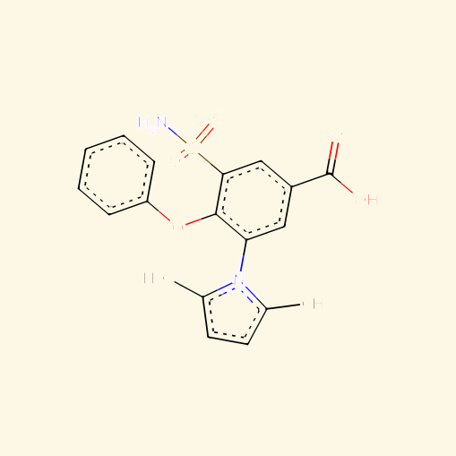 Cc1ccc(C)n1-c1cc(C(=O)O)cc(S(N)(=O)=O)c1Oc1ccccc1